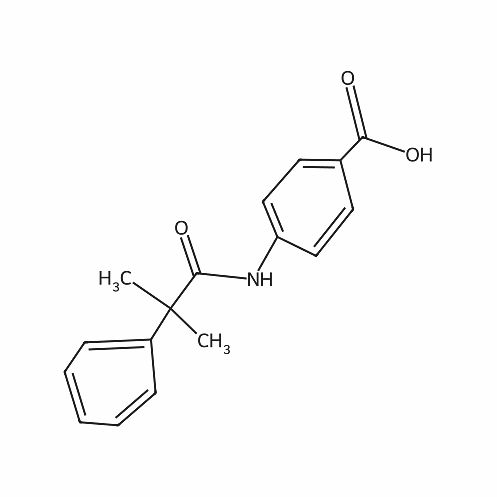 CC(C)(C(=O)Nc1ccc(C(=O)O)cc1)c1ccccc1